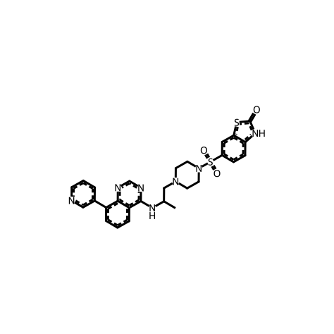 CC(CN1CCN(S(=O)(=O)c2ccc3[nH]c(=O)sc3c2)CC1)Nc1ncnc2c(-c3cccnc3)cccc12